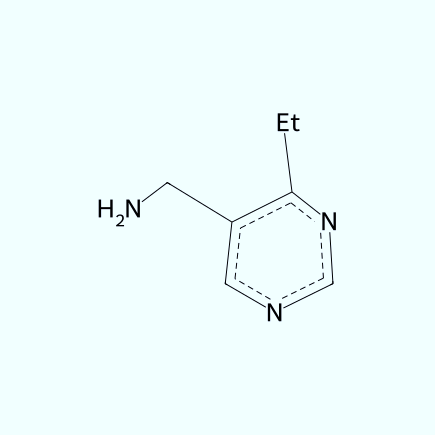 CCc1ncncc1CN